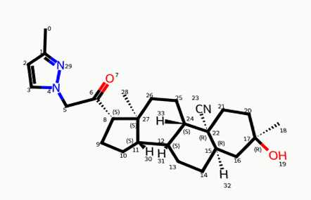 Cc1ccn(CC(=O)[C@H]2CC[C@H]3[C@@H]4CC[C@@H]5C[C@](C)(O)CC[C@]5(C#N)[C@H]4CC[C@]23C)n1